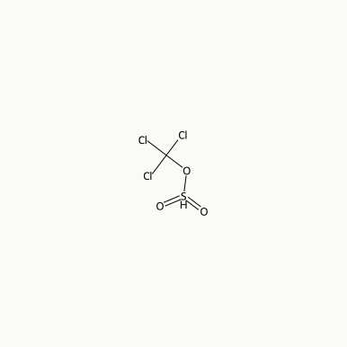 O=[SH](=O)OC(Cl)(Cl)Cl